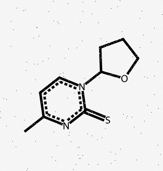 Cc1ccn(C2CCCO2)c(=S)n1